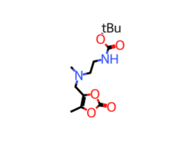 Cc1oc(=O)oc1CN(C)CCNC(=O)OC(C)(C)C